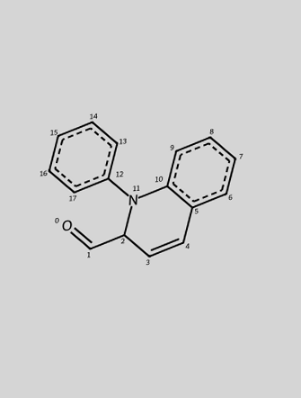 O=CC1C=Cc2ccccc2N1c1ccccc1